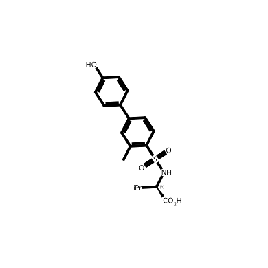 Cc1cc(-c2ccc(O)cc2)ccc1S(=O)(=O)N[C@@H](C(=O)O)C(C)C